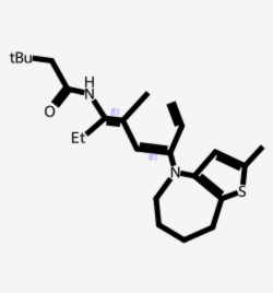 C=C/C(=C\C(C)=C(/CC)NC(=O)CC(C)(C)C)N1CCCCc2sc(C)cc21